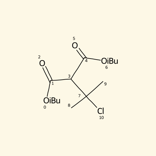 CC(C)COC(=O)C(C(=O)OCC(C)C)C(C)(C)Cl